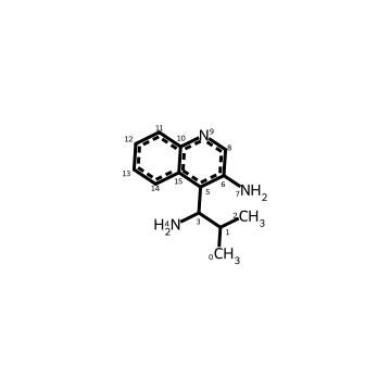 CC(C)C(N)c1c(N)cnc2ccccc12